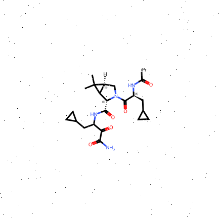 CC(C)C(=O)N[C@@H](CC1CC1)C(=O)N1C[C@H]2C([C@H]1C(=O)NC(CC1CC1)C(=O)C(N)=O)C2(C)C